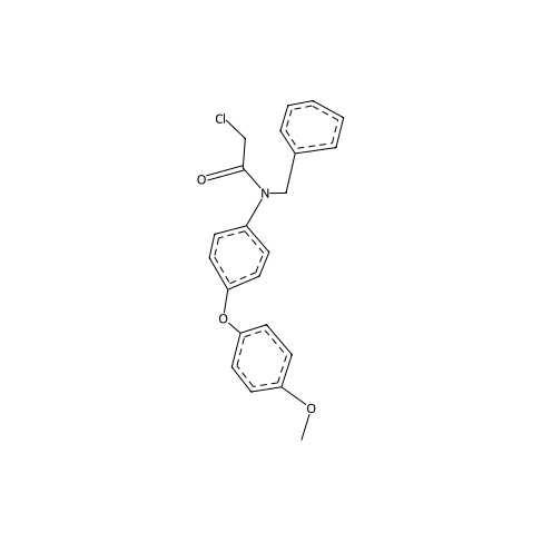 COc1ccc(Oc2ccc(N(Cc3ccccc3)C(=O)CCl)cc2)cc1